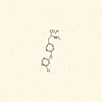 NC(Cc1ccc(Oc2ccnc(Cl)c2)cc1)C(=O)O